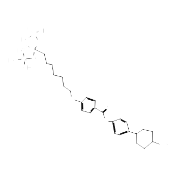 CCCC1CCC(c2ccc(OC(=O)c3ccc(OCCCCCCC[Si](C)(O[Si](C)(C)C)O[Si](C)(C)C)cc3)cc2)CC1